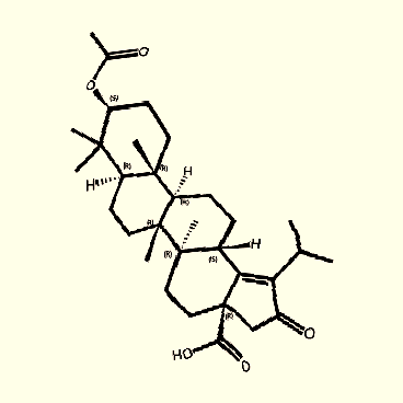 CC(=O)O[C@H]1CC[C@]2(C)[C@H]3CC[C@@H]4C5=C(C(C)C)C(=O)C[C@]5(C(=O)O)CC[C@@]4(C)[C@]3(C)CC[C@H]2C1(C)C